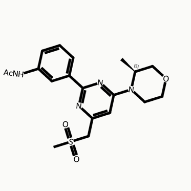 CC(=O)Nc1cccc(-c2nc(CS(C)(=O)=O)cc(N3CCOC[C@@H]3C)n2)c1